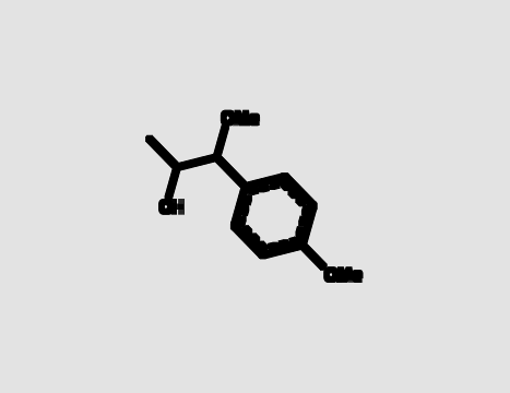 COc1ccc(C(OC)C(C)O)cc1